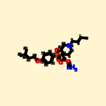 CCCCN1CCC(C(=O)ON)(S(=O)(=O)c2ccc(OCCC(C)C)cc2)CC1